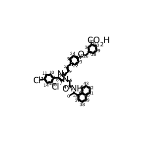 CC(NC(=O)Cn1cc(-c2ccc(Cl)cc2Cl)nc1C=Cc1ccc(OCc2cccc(C(=O)O)c2)cc1)c1cccc2ccccc12